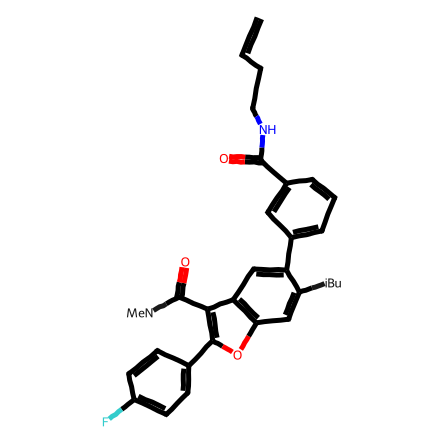 C=CCCNC(=O)c1cccc(-c2cc3c(C(=O)NC)c(-c4ccc(F)cc4)oc3cc2C(C)CC)c1